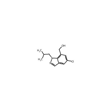 CC(C)Cn1ncc2cc(Cl)cc(CO)c21